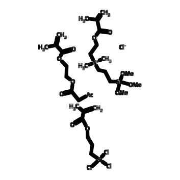 C=C(C)C(=O)OCCC[Si](Cl)(Cl)Cl.C=C(C)C(=O)OCCOC(=O)CC(C)=O.C=C(C)C(=O)OCC[N+](C)(C)CCC[Si](OC)(OC)OC.[Cl-]